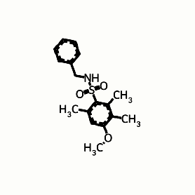 COc1cc(C)c(S(=O)(=O)NCc2ccccc2)c(C)c1C